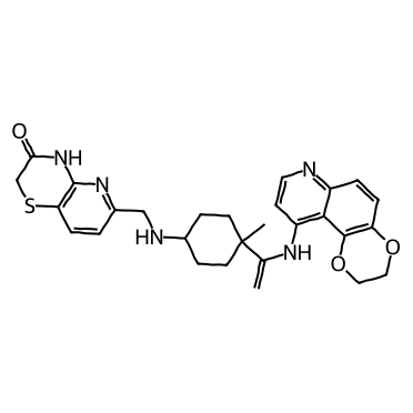 C=C(Nc1ccnc2ccc3c(c12)OCCO3)C1(C)CCC(NCc2ccc3c(n2)NC(=O)CS3)CC1